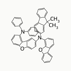 CC1(C)c2ccccc2-c2ccc(N(c3ccc4oc5cccc(N(c6ccccc6)c6ccccc6)c5c4c3)c3cccc4c3oc3ccccc34)cc21